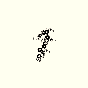 COc1cc(-c2cn(C)c(=O)c3cnc(N4CC(C)C4)cc23)cc(OC)c1CN1CC(=O)c2cc(-c3cccc4c3n(C)c(=O)n4C3CCC(=O)NC3=O)ccc2C1